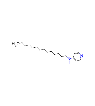 CCCCCCCCCCCCCCNc1ccncc1